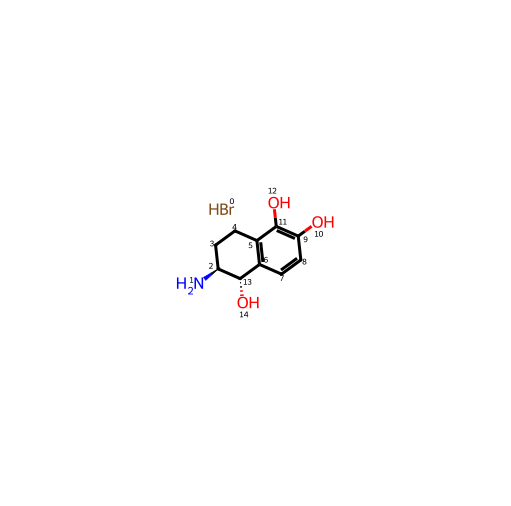 Br.N[C@H]1CCc2c(ccc(O)c2O)[C@@H]1O